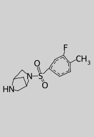 Cc1ccc(S(=O)(=O)N2CC3CC2CN3)cc1F